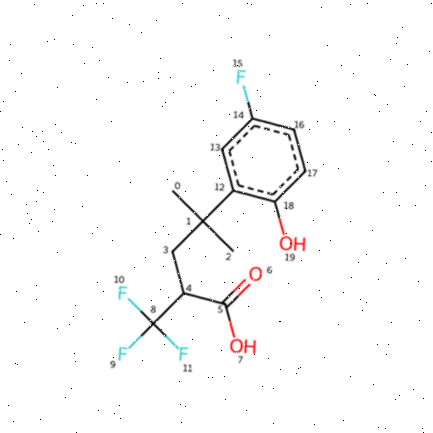 CC(C)(CC(C(=O)O)C(F)(F)F)c1cc(F)ccc1O